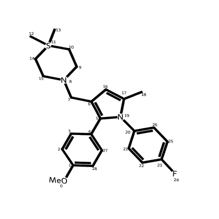 COc1ccc(-c2c(CN3CCS(C)(C)CC3)cc(C)n2-c2ccc(F)cc2)cc1